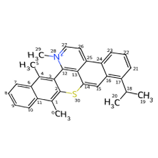 Cc1c2c(c(C)c3ccccc13)-c1c3c(cc4c(C(C)C)cccc4c3cc[n+]1C)S2